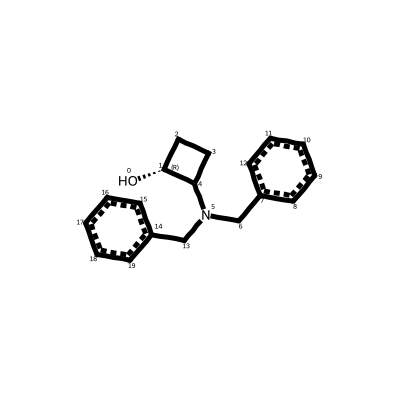 O[C@@H]1CCC1N(Cc1ccccc1)Cc1ccccc1